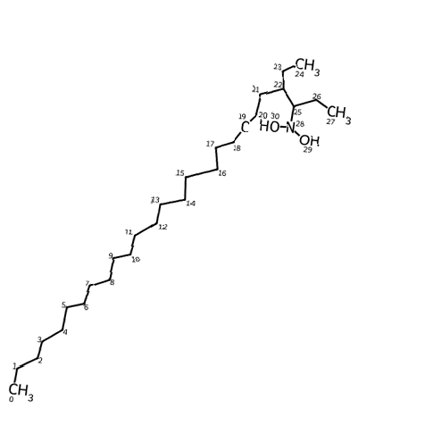 CCCCCCCCCCCCCCCCCCCCCCC(CC)C(CC)N(O)O